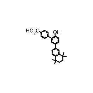 CC1(C)CCC(C)(C)c2cc(-c3ccc(O)c(-c4ccc(C(=O)O)cc4)c3)ccc21